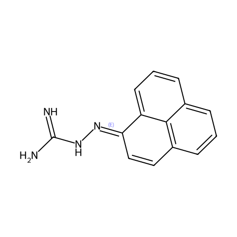 N=C(N)N/N=C1\C=Cc2cccc3cccc1c23